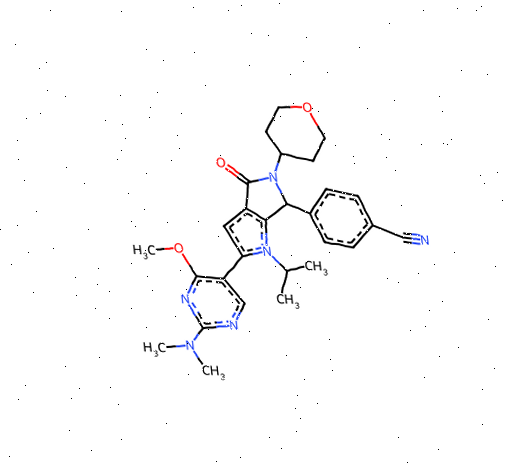 COc1nc(N(C)C)ncc1-c1cc2c(n1C(C)C)C(c1ccc(C#N)cc1)N(C1CCOCC1)C2=O